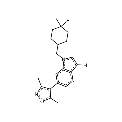 Cc1noc(C)c1-c1cnc2c(I)cn(CC3CCC(C)(F)CC3)c2c1